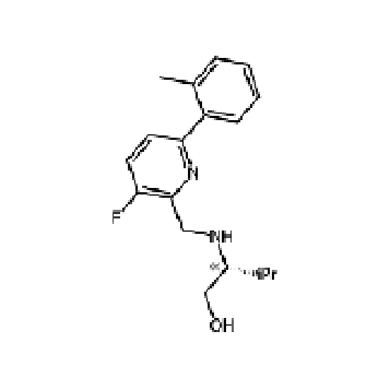 Cc1ccccc1-c1ccc(F)c(CN[C@@H](CO)C(C)C)n1